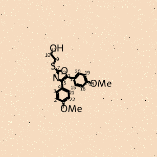 COc1ccc(-c2nc(SCCO)oc2-c2ccc(OC)cc2)cc1